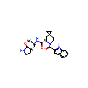 Cn1c(C(=O)N2CCC3(CC3)C[C@H]2C(=O)N[C@H](C#N)C[C@@H]2CCNC2=O)cc2ccccc21